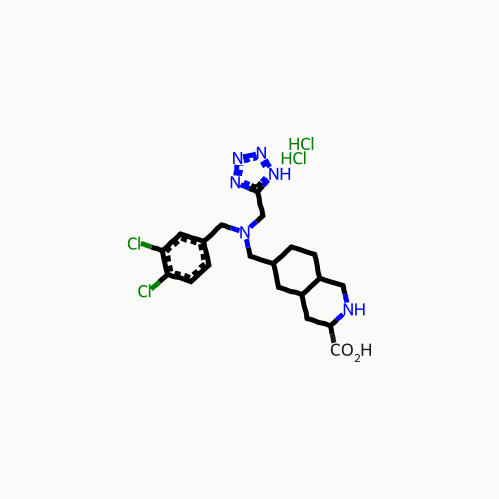 Cl.Cl.O=C(O)C1CC2CC(CN(Cc3ccc(Cl)c(Cl)c3)Cc3nnn[nH]3)CCC2CN1